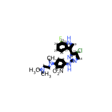 CN(C)CCN(C)c1ccc(Nc2ncc(Cl)c(-c3c[nH]c4c(F)cccc34)n2)cc1[N+](=O)[O-]